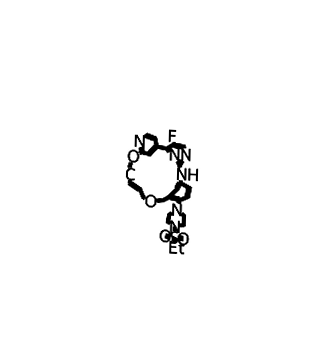 CCS(=O)(=O)N1CCN(c2ccc3cc2COC/C=C/CCOc2cc(ccn2)-c2nc(ncc2F)N3)CC1